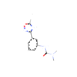 CN(C)C(=O)Nc1cccc(-c2noc(C(Cl)(Cl)Cl)n2)c1